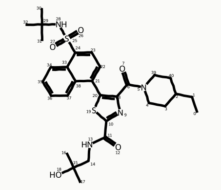 CCC1CCN(C(=O)c2nc(C(=O)NCC(C)(C)O)sc2-c2ccc(S(=O)(=O)NC(C)(C)C)c3ccccc23)CC1